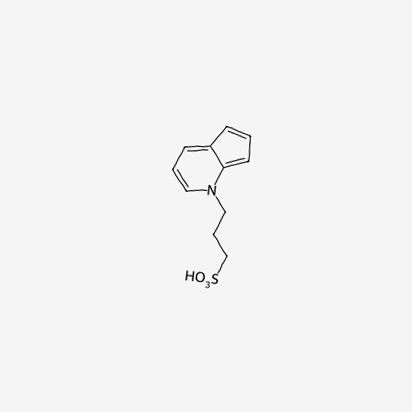 O=S(=O)(O)CCCn1cccc2cccc1-2